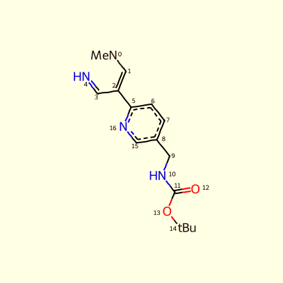 CN/C=C(\C=N)c1ccc(CNC(=O)OC(C)(C)C)cn1